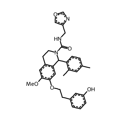 COc1cc2c(cc1OCCc1cccc(O)c1)C(c1ccc(C)cc1C)N(C(=O)NCc1cocn1)CC2